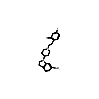 Nc1ccc2c(c1)N(C1CCN(CCc3ccc(F)cc3F)CC1)CC2